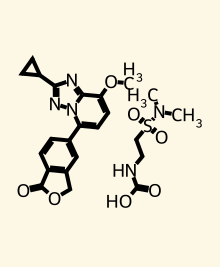 CN(C)S(=O)(=O)CCNC(=O)O.COc1ccc(-c2ccc3c(c2)COC3=O)n2nc(C3CC3)nc12